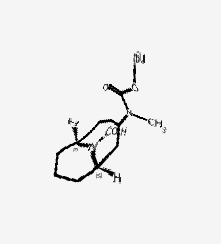 CN(C(=O)OC(C)(C)C)C1C[C@H]2CCC[C@@H](C1)N2C(=O)O